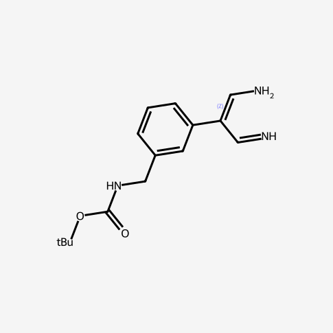 CC(C)(C)OC(=O)NCc1cccc(/C(C=N)=C/N)c1